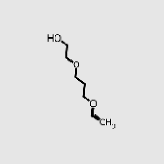 C=COCCCOCCO